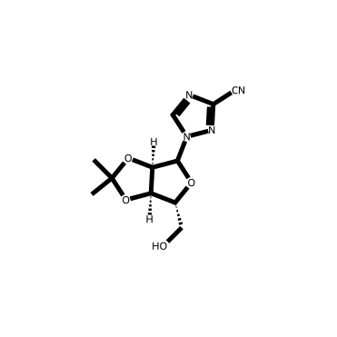 CC1(C)O[C@@H]2[C@@H](CO)OC(n3cnc(C#N)n3)[C@@H]2O1